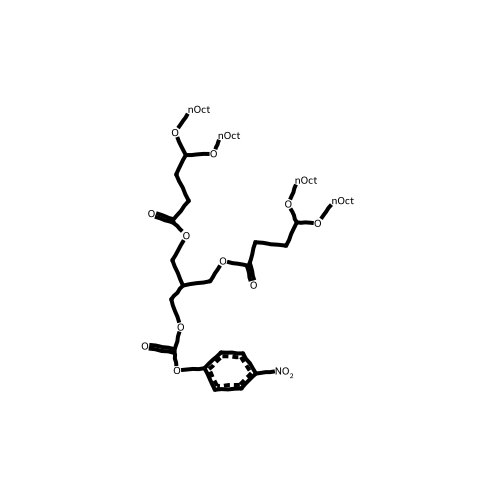 CCCCCCCCOC(CCC(=O)OCC(COC(=O)CCC(OCCCCCCCC)OCCCCCCCC)COC(=O)Oc1ccc([N+](=O)[O-])cc1)OCCCCCCCC